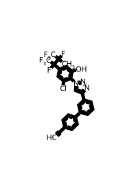 C#Cc1ccc(-c2cccc(-c3cn(-c4c(O)cc(C(F)(C(F)(F)F)C(C)(F)C(F)(F)F)cc4Cl)nn3)c2)cc1